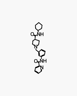 O=C(Nc1cccc(CN2CCC(C(=O)NC3CCCCC3)CC2)c1)c1ccccn1